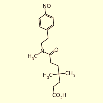 CN(CCc1ccc(N=O)cc1)C(=O)CCC(C)(C)CCC(=O)O